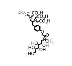 CN(CC(O)C(O)C(O)C(O)CO)C(=O)COc1ccc(CC(CN(CC(=O)O)CC(=O)O)N(CC(=O)O)CC(=O)O)cc1